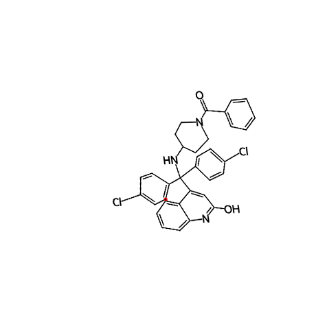 O=C(c1ccccc1)N1CCC(NC(c2ccc(Cl)cc2)(c2ccc(Cl)cc2)c2cc(O)nc3ccccc23)CC1